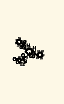 CCON(C(=O)CN1CC(CNS(=O)(=O)c2ccccc2)=CCC(NC(=O)c2ccccc2)C1=O)C1COC(=O)C1